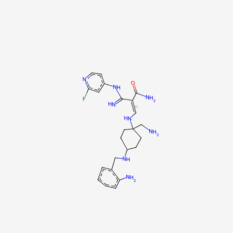 N=C(Nc1ccnc(F)c1)/C(=C\NC1(CN)CCC(NCc2ccccc2N)CC1)C(N)=O